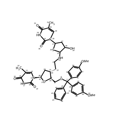 COc1ccc(C(OC[C@H]2O[C@@H](n3cc(C)c(=O)[nH]c3=O)C[C@@H]2CCNC2SC(n3cc(C)c(=O)[nH]c3=O)CC2O)(c2ccccc2)c2ccc(OC)cc2)cc1